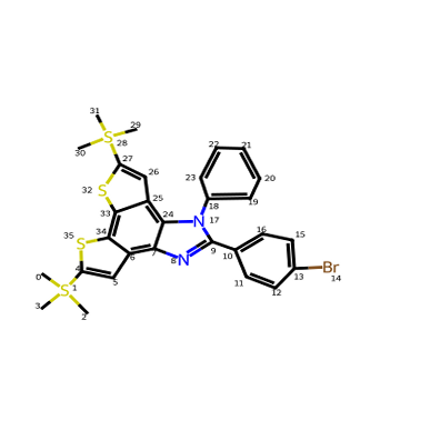 CS(C)(C)c1cc2c3nc(-c4ccc(Br)cc4)n(-c4ccccc4)c3c3cc(S(C)(C)C)sc3c2s1